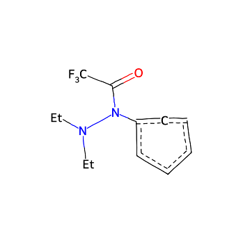 CCN(CC)N(C(=O)C(F)(F)F)c1ccccc1